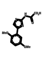 COc1ccc(OC)c(-c2csc(NC(=O)C(=O)O)n2)c1